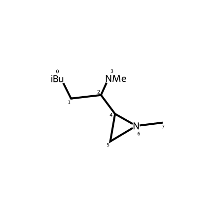 CCC(C)CC(NC)C1CN1C